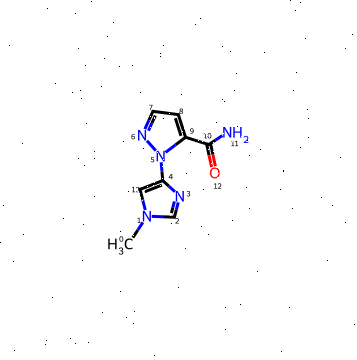 Cn1cnc(-n2nccc2C(N)=O)c1